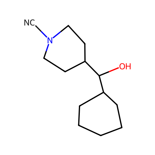 N#CN1CCC(C(O)C2CCCCC2)CC1